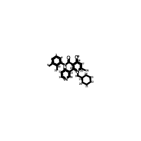 Cc1cccc(NC(=O)c2c(-c3cccnc3)n(CC3CCCCC3)c(C)cc2=O)c1C